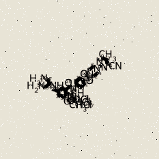 Cc1cc(C#N)nc(N2CCN(S(=O)(=O)c3ccc(NC(=O)c4cc(CNC(CN)CN)ccc4N(C)S(C)(=O)=O)cc3)CC2)n1.Cl.Cl.Cl